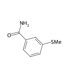 CSc1cccc(C(N)=O)c1